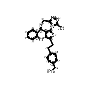 CCc1nnc2n1-c1sc(CCc3ccc(CC(C)C)cc3)cc1C(c1ccccc1Cl)=NC2